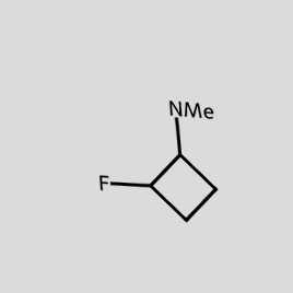 CNC1CCC1F